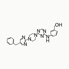 OCc1cccc(Nc2ncnc(N3CCN(c4ncc(Cc5ccccc5)cn4)CC3)n2)c1